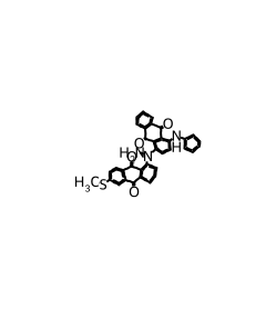 CSc1ccc2c(c1)C(=O)c1cccc(N(N)c3ccc(Nc4ccccc4)c4c3C(=O)c3ccccc3C4=O)c1C2=O